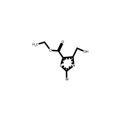 CCOC(=O)c1sc(Br)nc1CO